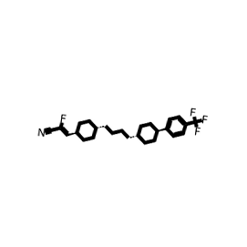 N#CC(F)=C[C@H]1CC[C@H](CCCC[C@H]2CC[C@H](c3ccc(C(F)(F)F)cc3)CC2)CC1